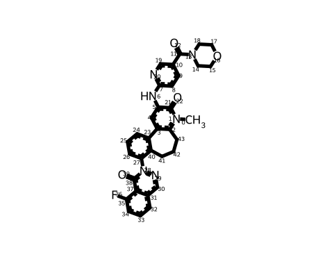 Cn1c2c(cc(Nc3ccc(C(=O)N4CCOCC4)cn3)c1=O)-c1cccc(-n3ncc4cccc(F)c4c3=O)c1CCC2